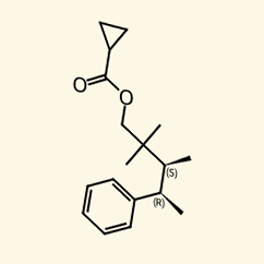 C[C@@H](c1ccccc1)[C@H](C)C(C)(C)COC(=O)C1CC1